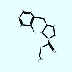 CC(C)(C)OC(=O)N1CC[C@H](Cc2ccncc2F)C1